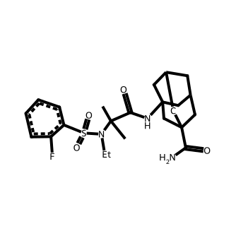 CCN(C(C)(C)C(=O)NC12CC3CC(C1)CC(C(N)=O)(C3)C2)S(=O)(=O)c1ccccc1F